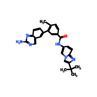 Cc1ccc(C(=O)Nc2ccc3nc(C(C)(C)C)cn3c2)cc1-c1ccc2nc(N)ncc2c1